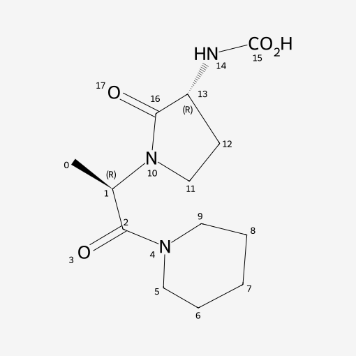 C[C@H](C(=O)N1CCCCC1)N1CC[C@@H](NC(=O)O)C1=O